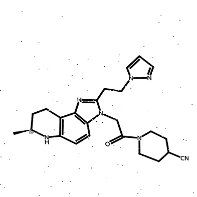 C[C@H]1CCc2c(ccc3c2nc(CCn2cccn2)n3CC(=O)N2CCC(C#N)CC2)N1